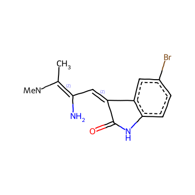 CN/C(C)=C(N)/C=C1\C(=O)Nc2ccc(Br)cc21